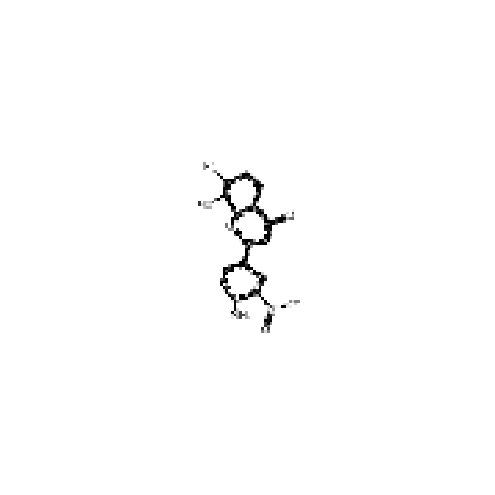 Nc1ccc(-c2cc(=O)c3ccc(O)c(O)c3o2)cc1[N+](=O)[O-]